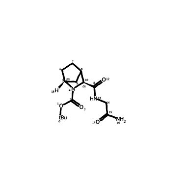 CC(C)(C)OC(=O)N1[C@@H]2CCC(C2)[C@H]1C(=O)NCC(N)=O